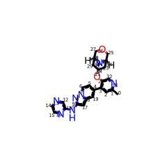 Cc1cc(-c2ccn3nc(Nc4cnccn4)cc3c2)c(O[C@H]2C[C@H]3COC[C@@H](C2)N3C)cn1